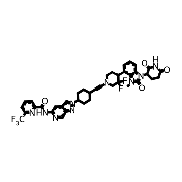 Cn1c(=O)n(C2CCC(=O)NC2=O)c2cccc(C3CCN(C#CC4CCC(n5cc6cc(NC(=O)c7cccc(C(F)(F)F)n7)ncc6n5)CC4)CC3(F)F)c21